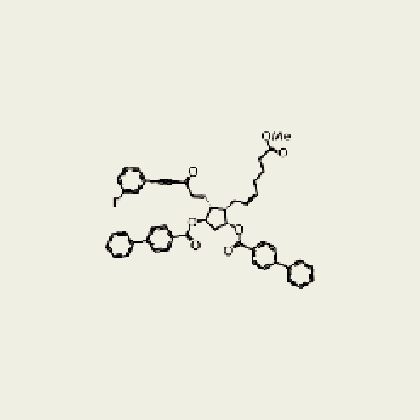 COC(=O)CCC/C=C\C[C@@H]1[C@@H](/C=C/C(=O)C#Cc2cccc(F)c2)[C@H](OC(=O)c2ccc(-c3ccccc3)cc2)C[C@@H]1OC(=O)c1ccc(-c2ccccc2)cc1